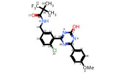 COc1ccc(-c2nc(O)nc(-c3cc(CNC(=O)C(C)(C)C(F)(F)F)ccc3Cl)n2)cc1